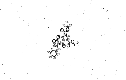 CCOC(=O)[C@@H]1CN(C(=O)OC(C)(C)C)C[C@H]1C(=O)N1C(=O)OCC1Cc1ccccc1